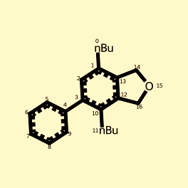 CCCCc1cc(-c2ccccc2)c(CCCC)c2c1COC2